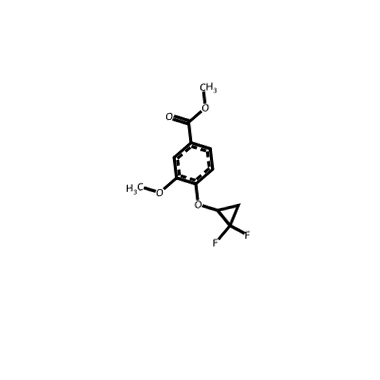 COC(=O)c1ccc(OC2CC2(F)F)c(OC)c1